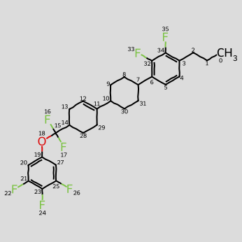 CCCc1ccc(C2CCC(C3=CCC(C(F)(F)Oc4cc(F)c(F)c(F)c4)CC3)CC2)c(F)c1F